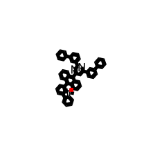 C[Si]1(C)c2ccccc2-c2cccc(-c3c4ccccc4c(-c4cc(-c5cccc(-c6ccccc6)c5)nc(-c5cccc(-c6ccccc6)c5)n4)c4ccccc34)c21